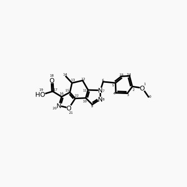 COc1ccc(Cn2ncc3c2CC(C)c2c(C(=O)O)noc2-3)cc1